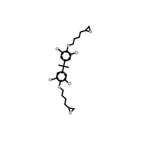 CC(C)(c1cc(Cl)c(OCCCCC2CO2)c(Cl)c1)c1cc(Cl)c(OCCCCC2CO2)c(Cl)c1